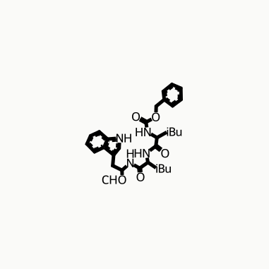 CCC(C)C(NC(=O)OCc1ccccc1)C(=O)NC(C(=O)NC(C=O)Cc1c[nH]c2ccccc12)C(C)CC